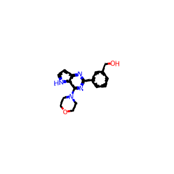 OCc1cccc(-c2nc(N3CCOCC3)c3[nH]ccc3n2)c1